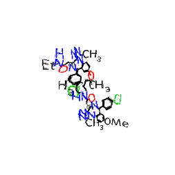 CCNC(=O)C[C@@H]1N=C(c2ccc(Cl)cc2)c2cc(OC(C)CC(C)CNC(=O)C[C@@H]3N=C(c4ccc(Cl)cc4)c4cc(OC)ccc4-n4c(C)nnc43)ccc2-n2c(C)nnc21